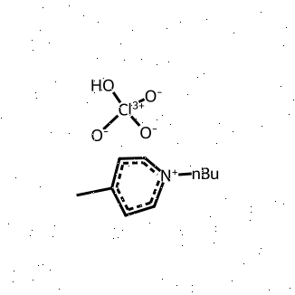 CCCC[n+]1ccc(C)cc1.[O-][Cl+3]([O-])([O-])O